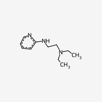 CCN(CC)CCNc1ccccn1